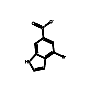 O=[N+]([O-])c1cc(Br)c2cc[nH]c2c1